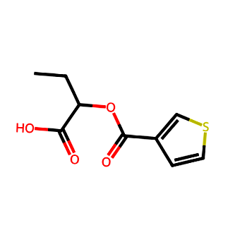 CCC(OC(=O)c1ccsc1)C(=O)O